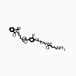 NCCCCC(=O)NCCOCCOc1ccc(C2OCC(CCCCN3C(=O)c4ccccc4C3=O)O2)cc1F